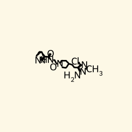 Cc1nc(N)c(CCC2CCN(C(=O)CNC(=O)c3cccnn3)CC2)c(Cl)n1